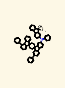 CC1(C)c2ccccc2-c2ccc(N(c3ccccc3)c3ccc4c(c3)C3(CCC5(CC3)c3ccccc3-c3c(-c6ccccc6)cccc35)c3cc(-c5ccccc5)ccc3-4)cc21